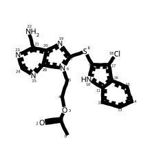 CC(=O)OCCn1c(Sc2[nH]c3ccccc3c2Cl)nc2c(N)ncnc21